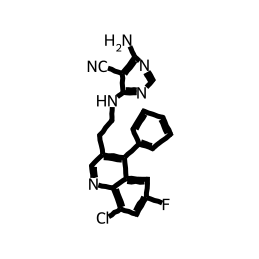 N#Cc1c(N)ncnc1NCCc1cnc2c(Cl)cc(F)cc2c1-c1ccccc1